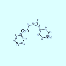 c1cc(OCCC2CC2C2CCNCC2)ccn1